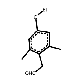 CCOc1cc(C)c(CC=O)c(C)c1